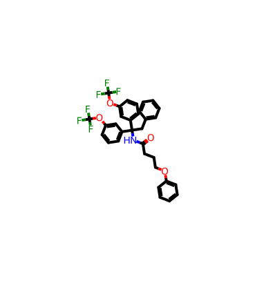 O=C(CCCOc1ccccc1)NC(Cc1ccccc1)(c1cccc(OC(F)(F)F)c1)c1cccc(OC(F)(F)F)c1